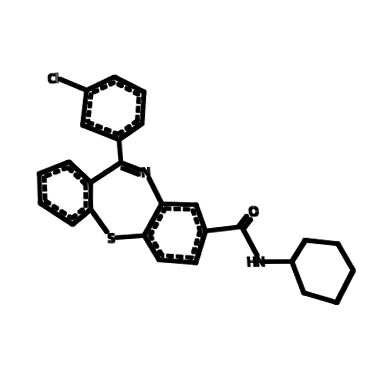 O=C(NC1CCCCC1)c1ccc2c(c1)N=C(c1cccc(Cl)c1)c1ccccc1S2